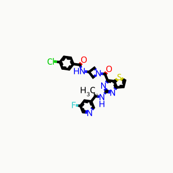 C[C@H](Nc1nc(C(=O)N2CC(NC(=O)c3ccc(Cl)cc3)C2)c2sccc2n1)c1cncc(F)c1